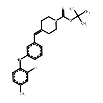 Cc1ccc(Nc2cccc(C=C3CCN(C(=O)OC(C)(C)C)CC3)c2)c(Cl)c1